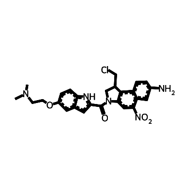 CN(C)CCOc1ccc2[nH]c(C(=O)N3CC(CCl)c4c3cc([N+](=O)[O-])c3cc(N)ccc43)cc2c1